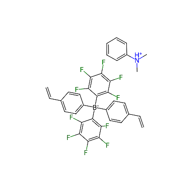 C=Cc1ccc([B-](c2ccc(C=C)cc2)(c2c(F)c(F)c(F)c(F)c2F)c2c(F)c(F)c(F)c(F)c2F)cc1.C[NH+](C)c1ccccc1